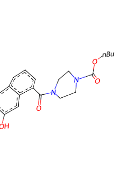 CCCCOC(=O)N1CCN(C(=O)c2cccc3ccc(O)cc23)CC1